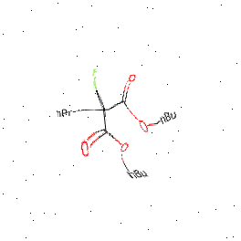 CCCCOC(=O)C(F)(CCC)C(=O)OCCCC